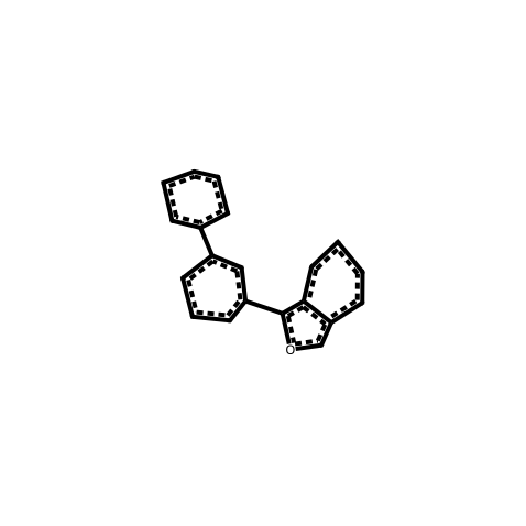 c1ccc(-c2cccc(-c3occ4ccccc34)c2)cc1